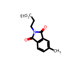 CCOC(=O)CCN1C(=O)c2ccc(C)cc2C1=O